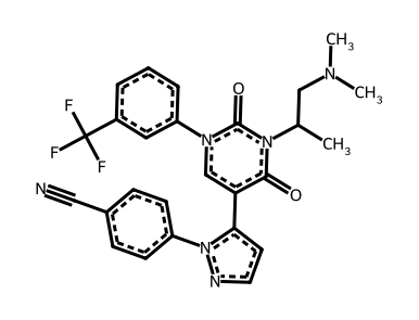 CC(CN(C)C)n1c(=O)c(-c2ccnn2-c2ccc(C#N)cc2)cn(-c2cccc(C(F)(F)F)c2)c1=O